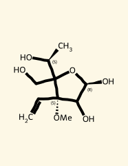 C=C[C@]1(OC)C(O)[C@H](O)OC1(CO)[C@H](C)O